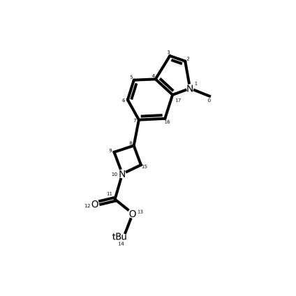 Cn1ccc2ccc(C3CN(C(=O)OC(C)(C)C)C3)cc21